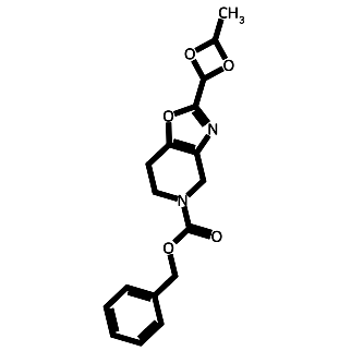 CC1OC(c2nc3c(o2)CCN(C(=O)OCc2ccccc2)C3)O1